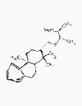 C[C@H](O)[C@H](C)OC[C@H]1CC[C@]2(C)c3ccccc3CCC2C1(C)C